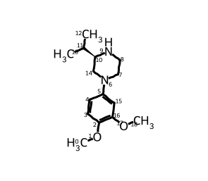 COc1ccc(N2CCN[C@H](C(C)C)C2)cc1OC